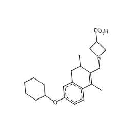 CC1=C(CN2CC(C(=O)O)C2)C(C)Cc2cc(OC3CCCCC3)ccc21